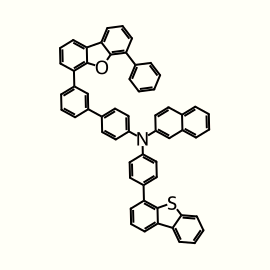 c1ccc(-c2cccc3c2oc2c(-c4cccc(-c5ccc(N(c6ccc(-c7cccc8c7sc7ccccc78)cc6)c6ccc7ccccc7c6)cc5)c4)cccc23)cc1